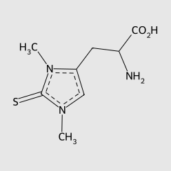 Cn1cc(CC(N)C(=O)O)n(C)c1=S